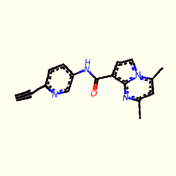 C#Cc1ccc(NC(=O)c2ccn3c(C)cc(C)nc23)cn1